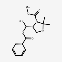 CCCC(OC(=O)c1ccccc1)C1COC(C)(C)N1C(=O)OC(C)(C)C